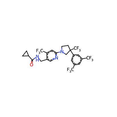 O=C(NCc1cnc(N2CCC(c3cc(C(F)(F)F)cc(C(F)(F)F)c3)(C(F)(F)F)C2)cc1C(F)(F)F)C1CC1